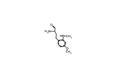 CNc1cc(OC)ccc1CCC(N)C=O